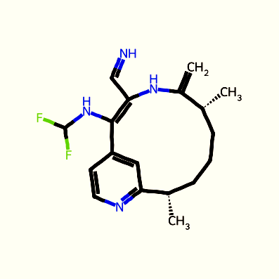 C=C1N/C(C=N)=C(/NC(F)F)c2ccnc(c2)[C@@H](C)CCC[C@H]1C